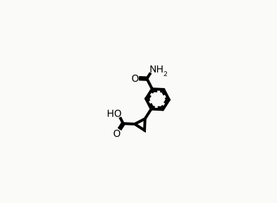 NC(=O)c1cccc(C2CC2C(=O)O)c1